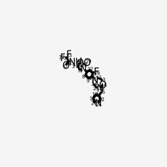 O=C(NC[C@H]1CN(c2ccc(N3CCON(Cc4cccnc4)CC3)c(F)c2)C(=O)O1)C(F)F